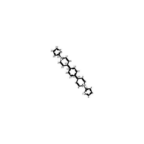 C1=CN(c2cccs2)C=CC1=c1ccc(=C2C=CN(c3cccs3)C=C2)cc1